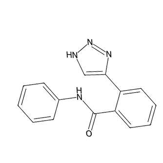 O=C(Nc1ccccc1)c1ccccc1-c1c[nH]nn1